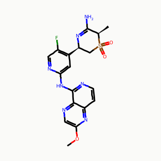 COc1cnc2c(Nc3cc([C@@H]4CS(=O)(=O)[C@H](C)C(N)=N4)c(F)cn3)nccc2n1